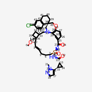 CO[C@H]1/C=C/CCC[S@@](=O)(NC(=O)[C@@H]2C[C@H]2c2ccnn2C)=NC(=O)c2ccc3c(c2)N(C[C@@H]2CC[C@H]21)C[C@@]1(CCCc2cc(Cl)ccc21)CO3